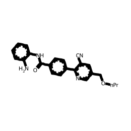 CCCOCc1cnc(-c2ccc(C(=O)Nc3ccccc3N)cc2)c(C#N)c1